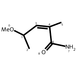 COC(C)C=C(C)C(N)=O